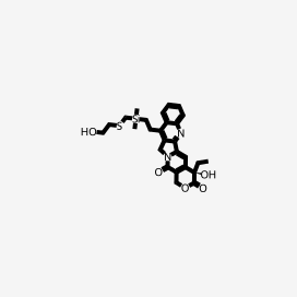 CC[C@@]1(O)C(=O)OCc2c1cc1n(c2=O)Cc2c-1nc1ccccc1c2CC[Si](C)(C)CSCCO